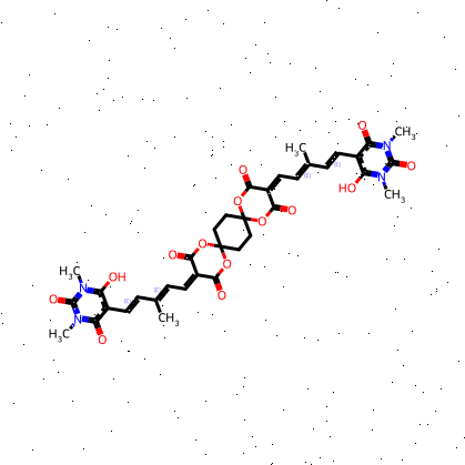 CC(/C=C/c1c(O)n(C)c(=O)n(C)c1=O)=C\C=C1C(=O)OC2(CCC3(CC2)OC(=O)C(=C/C=C(C)/C=C/c2c(O)n(C)c(=O)n(C)c2=O)C(=O)O3)OC1=O